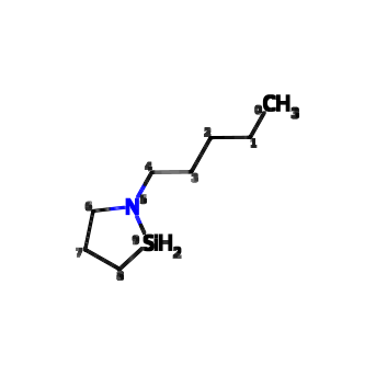 CCCCCN1CCC[SiH2]1